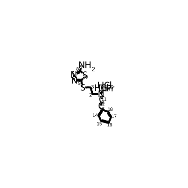 CCCN(CCSc1nnc(N)s1)CCc1ccccc1.Cl.Cl